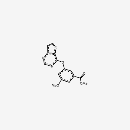 COC(=O)c1cc(OC)cc(Oc2ncnc3ccsc23)c1